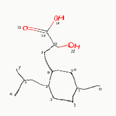 CC1CCC(C(C)C)C(CC(O)C(=O)O)C1